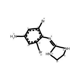 Nc1cc(Br)c(N=C2NCCN2)c(Br)c1